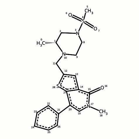 C[C@@H]1CN(S(C)(=O)=O)CCN1Cc1cc2c(=O)n(C)cc(-c3ccccc3)c2s1